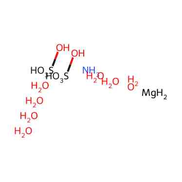 N.O.O.O.O.O.O.O.O=S(=O)(O)O.O=S(=O)(O)O.[MgH2]